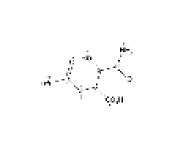 CCCC(=O)NC(C(=O)O)C(O)C(N)=O